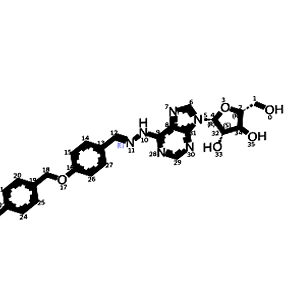 OC[C@H]1O[C@@H](n2cnc3c(N/N=C/c4ccc(OCc5ccc(F)cc5)cc4)ncnc32)[C@@H](O)C1O